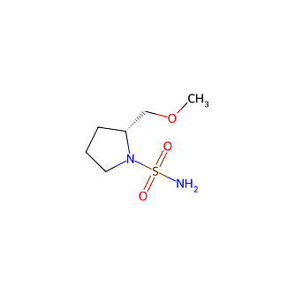 COC[C@H]1CCCN1S(N)(=O)=O